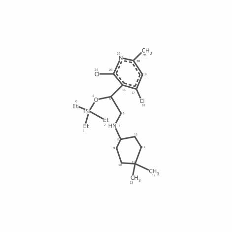 CC[Si](CC)(CC)OC(CNC1CCC(C)(C)CC1)c1c(Cl)cc(C)nc1Cl